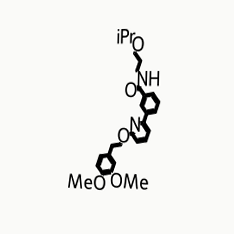 COc1ccc(CCOc2cccc(-c3cccc(C(=O)NCCCOC(C)C)c3)n2)cc1OC